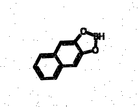 B1Oc2cc3ccccc3cc2O1